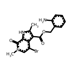 Cc1[nH]c2c(=O)n(C)cc(Br)c2c1C(=O)OCc1ccccc1N